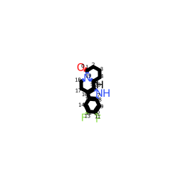 O=C1CCC[C@H]2c3[nH]c4cc(F)c(F)cc4c3CCN12